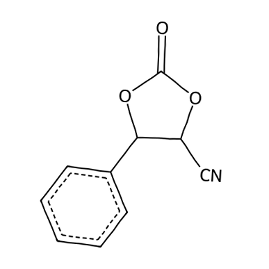 N#CC1OC(=O)OC1c1ccccc1